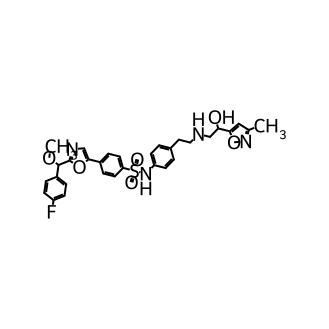 COC(c1ccc(F)cc1)c1ncc(-c2ccc(S(=O)(=O)Nc3ccc(CCNCC(O)c4cc(C)no4)cc3)cc2)o1